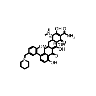 COc1ccc(CN2CCCCC2)cc1-c1ccc(O)c2c1CC1CC3[C@H](N(C)C)C(O)=C(C(N)=O)C(=O)[C@@]3(O)C(O)=C1C2=O